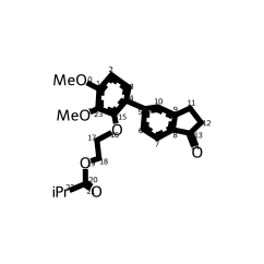 COc1ccc(-c2ccc3c(c2)CCC3=O)c(OCCOC(=O)C(C)C)c1OC